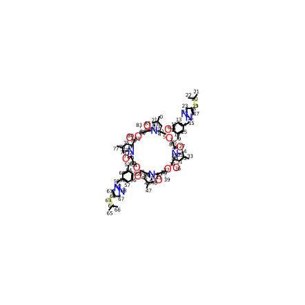 CC(C)C[C@H]1C(=O)O[C@H](Cc2cccc(Cn3cc(SC(C)C)cn3)c2)C(=O)N(C)[C@@H](CC(C)C)C(=O)O[C@H](C)C(=O)N(C)[C@@H](CC(C)C)C(=O)O[C@H](Cc2cccc(Cn3cc(SC(C)C)cn3)c2)C(=O)N(C)[C@@H](CC(C)C)C(=O)O[C@H](C)C(=O)N1C